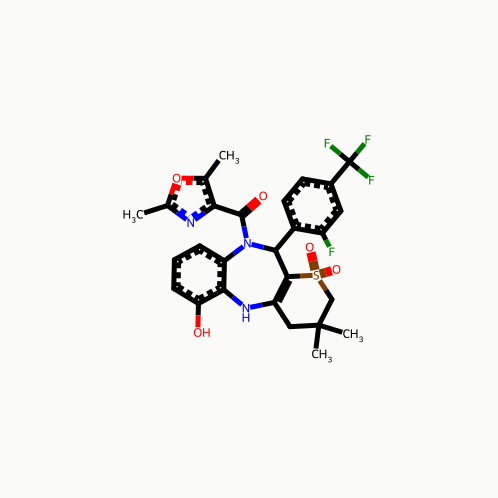 Cc1nc(C(=O)N2c3cccc(O)c3NC3=C(C2c2ccc(C(F)(F)F)cc2F)S(=O)(=O)CC(C)(C)C3)c(C)o1